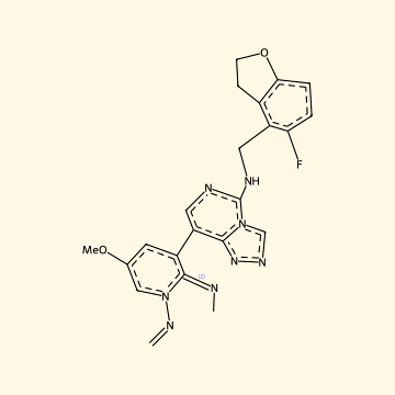 C=Nn1cc(OC)cc(-c2cnc(NCc3c(F)ccc4c3CCO4)n3cnnc23)/c1=N/C